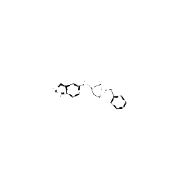 Clc1ccccc1CN1CCC(Nc2ccc3[nH]ncc3c2)C1